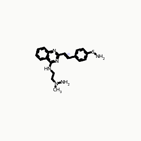 CN(N)CCNc1nc(/C=C/c2ccc(SN)cc2)nc2ccccc12